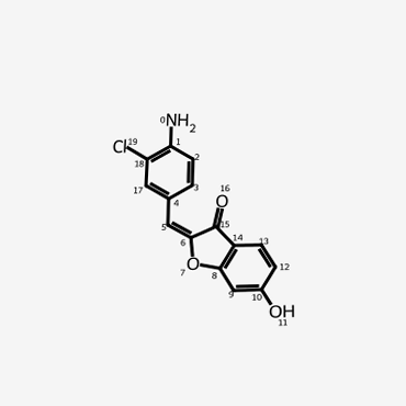 Nc1ccc(C=C2Oc3cc(O)ccc3C2=O)cc1Cl